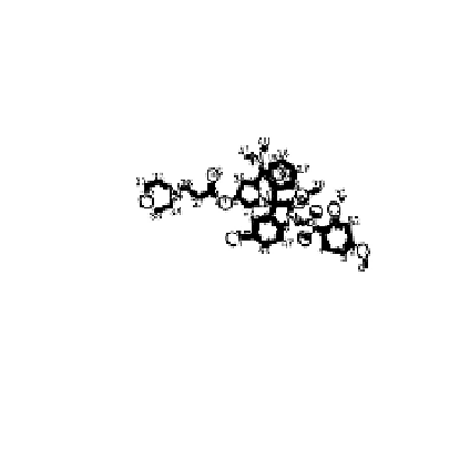 COc1ccc(S(=O)(=O)N2C(=O)C(c3ccccc3OC)(N3CC(OC(=O)CCN4CCOCC4)CC3C(=O)N(C)C)c3cc(Cl)ccc32)c(OC)c1